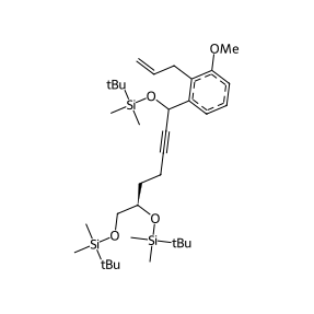 C=CCc1c(OC)cccc1C(C#CCC[C@H](CO[Si](C)(C)C(C)(C)C)O[Si](C)(C)C(C)(C)C)O[Si](C)(C)C(C)(C)C